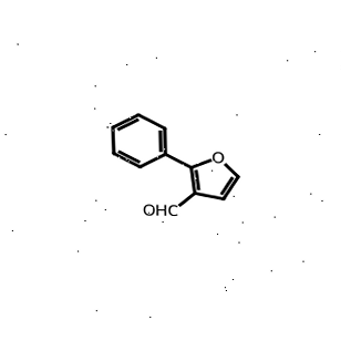 O=Cc1ccoc1-c1cc[c]cc1